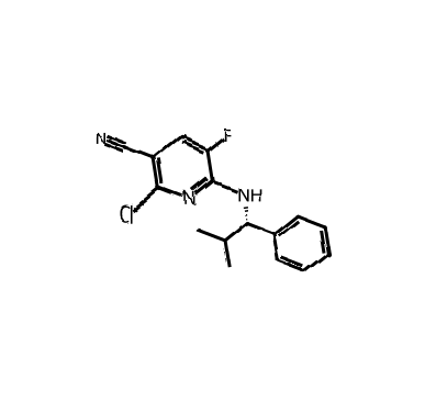 CC(C)[C@H](Nc1nc(Cl)c(C#N)cc1F)c1ccccc1